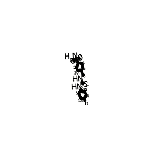 NS(=O)(=O)c1ccc(CNC(=S)Nc2ccc(I)cc2)cc1